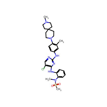 Cc1cc(Nc2ncc(Cl)c(Nc3ccccc3N(C)S(C)(=O)=O)n2)ccc1N1CCC2(CCN(C)CC2)CC1